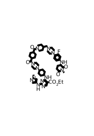 CCOC(=O)c1cnc(Nc2cnn(C)c2)nc1NC1CCC(N2CCN(C(=O)C3CCC(C(=O)N4CCC(CN5CCN(c6ccc(NC7CCC(=O)N(C)C7=O)cc6F)CC5)CC4)CC3)CC2)CC1